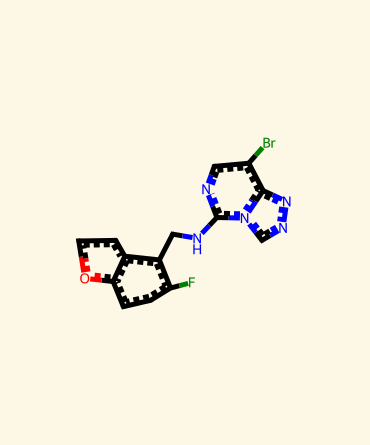 Fc1ccc2occc2c1CNc1ncc(Br)c2nncn12